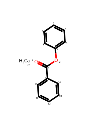 O=C(Oc1cc[c]cc1)c1ccccc1.[CaH2]